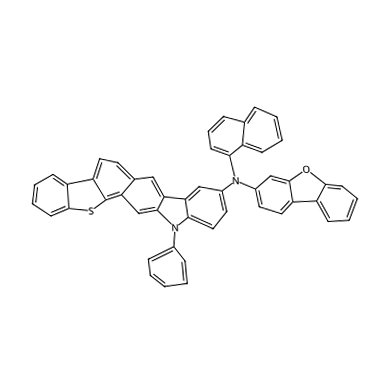 c1ccc(-n2c3ccc(N(c4ccc5c(c4)oc4ccccc45)c4cccc5ccccc45)cc3c3cc4ccc5c6ccccc6sc5c4cc32)cc1